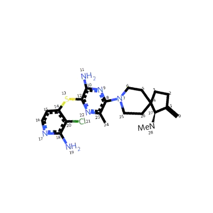 C=C1CCC2(CCN(c3nc(N)c(Sc4ccnc(N)c4Cl)nc3C)CC2)[C@@H]1NC